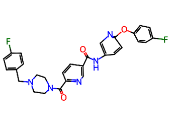 O=C(Nc1ccc(Oc2ccc(F)cc2)nc1)c1ccc(C(=O)N2CCN(Cc3ccc(F)cc3)CC2)nc1